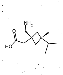 CC(C)[C@]1(C)C[C@](CN)(CC(=O)O)C1